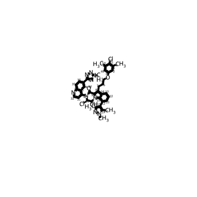 Cc1cc(OCCCc2c3n(c4c(-c5c(C)nn(C)c5C)cccc24)C(C)[C@@H](Cl)N(c2ccnc4ccc(-c5nnn(C)n5)cc24)C3=O)cc(C)c1Cl